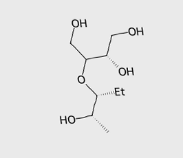 CC[C@@H](OC(CO)[C@@H](O)CO)[C@H](C)O